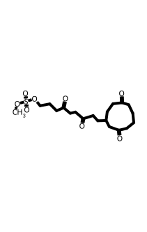 COS(=O)(=O)OCCCC(=O)CCC(=O)CCC1CCC(=O)CCCCC(=O)C1